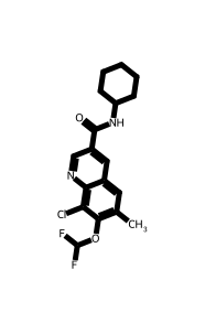 Cc1cc2cc(C(=O)NC3CCCCC3)cnc2c(Cl)c1OC(F)F